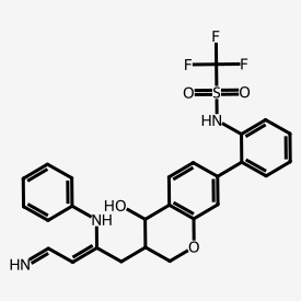 N=C/C=C(/CC1COc2cc(-c3ccccc3NS(=O)(=O)C(F)(F)F)ccc2C1O)Nc1ccccc1